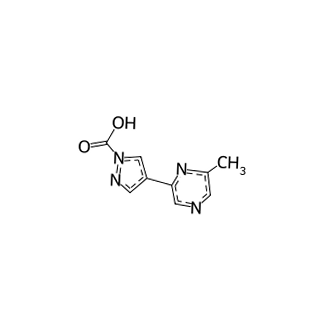 Cc1cncc(-c2cnn(C(=O)O)c2)n1